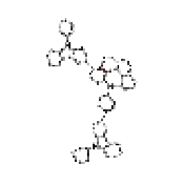 c1ccc(-n2c3ccccc3c3cc(-c4ccc(N(c5ccc(-c6ccc7c(c6)c6ccccc6n7-c6ccccc6)cc5)c5cccc6ccc7ccccc7c56)cc4)ccc32)cc1